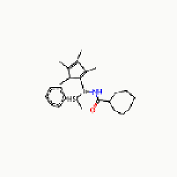 CC1=C(C)C(C)[C]([Ti]([NH]C(=O)C2CCCCCC2)[SiH](C)c2ccccc2)=C1C